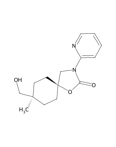 C[C@]1(CO)CC[C@@]2(CC1)CN(c1ccccn1)C(=O)O2